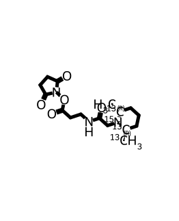 C[13C@@H]1CCC[13C@H]([13CH3])[15N]1CC(=O)NCCC(=O)ON1C(=O)CCC1=O